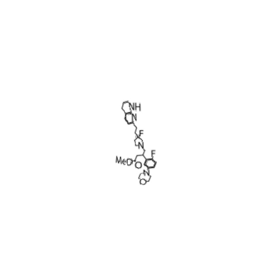 COC(=O)CC(CN1CC[C@@](F)(CCc2ccc3c(n2)NCCC3)C1)c1cc(N2CCOCC2)ccc1F